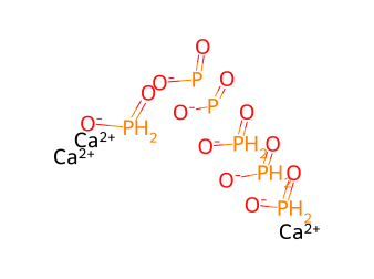 O=P[O-].O=P[O-].O=[PH2][O-].O=[PH2][O-].O=[PH2][O-].O=[PH2][O-].[Ca+2].[Ca+2].[Ca+2]